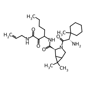 C=CCNC(=O)C(=O)C(CCCC)NC(=O)[C@@H]1C2C(CN1C(=O)[C@@H](N)C1(C)CCCCC1)C2(C)C